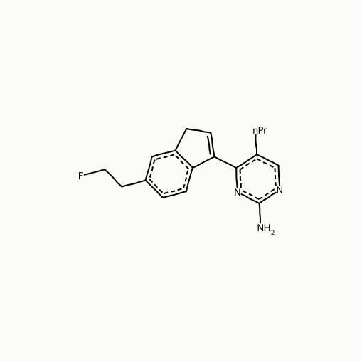 CCCc1cnc(N)nc1C1=CCc2cc(CCF)ccc21